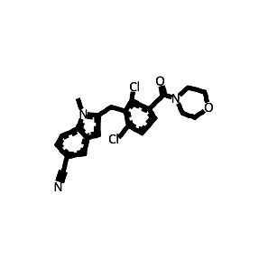 Cn1c(Cc2c(Cl)ccc(C(=O)N3CCOCC3)c2Cl)cc2cc(C#N)ccc21